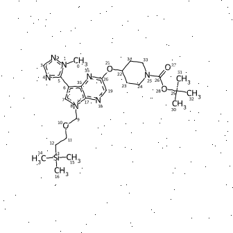 Cn1ncnc1-c1cn(COCC[Si](C)(C)C)c2ncc(OC3CCN(C(=O)OC(C)(C)C)CC3)nc12